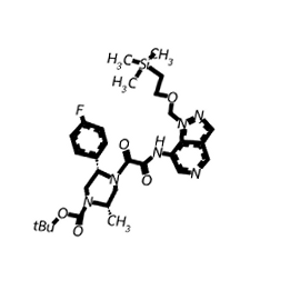 C[C@H]1CN(C(=O)C(=O)Nc2cncc3cnn(COCC[Si](C)(C)C)c23)[C@@H](c2ccc(F)cc2)CN1C(=O)OC(C)(C)C